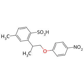 Cc1ccc(S(=O)(=O)O)c(C(C)COc2ccc([N+](=O)[O-])cc2)c1